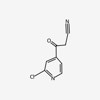 N#CCC(=O)c1ccnc(Cl)c1